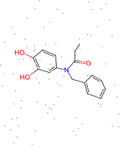 CCC(=O)N(Cc1ccccc1)c1ccc(O)c(O)c1